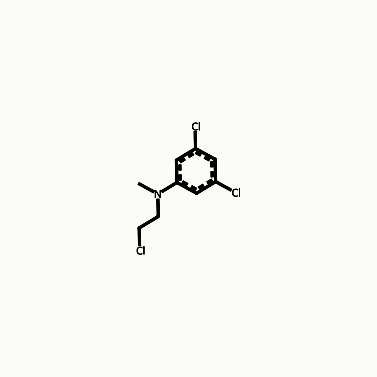 CN(CCCl)c1cc(Cl)cc(Cl)c1